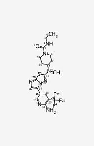 CCNC(=O)N1CCC(N(C)c2nn3c(-c4cnc(N)c(C(F)(F)F)c4)cnc3s2)CC1